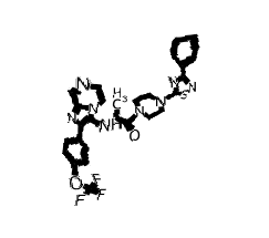 CC(Nc1c(-c2ccc(OC(F)(F)F)cc2)nc2cnccn12)C(=O)N1CCN(c2nc(-c3ccccc3)ns2)CC1